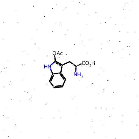 CC(=O)Oc1[nH]c2ccccc2c1C[C@H](N)C(=O)O